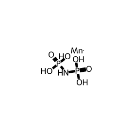 O=P(O)(O)NP(=O)(O)O.[Mn]